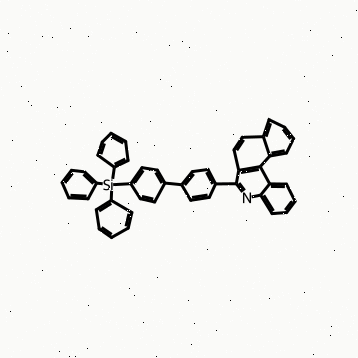 c1ccc([Si](c2ccccc2)(c2ccccc2)c2ccc(-c3ccc(-c4nc5ccccc5c5c4ccc4ccccc45)cc3)cc2)cc1